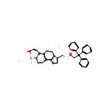 CN1C(=O)C=C[C@]2(C)[C@H]3CC[C@]4(C)C(CNC(=O)CC(c5ccccc5)(c5ccccc5)c5ccccc5)CC[C@H]4[C@@H]3CC[C@@H]12